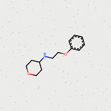 c1ccc(OCCNC2CCOCC2)cc1